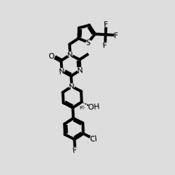 Cc1nc(N2CC=C(c3ccc(F)c(Cl)c3)[C@@H](O)C2)nc(=O)n1Cc1ccc(C(F)(F)F)s1